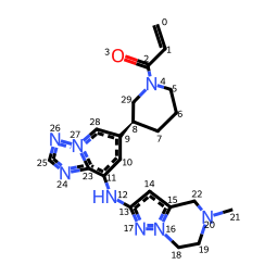 C=CC(=O)N1CCC[C@@H](c2cc(Nc3cc4n(n3)CCN(C)C4)c3ncnn3c2)C1